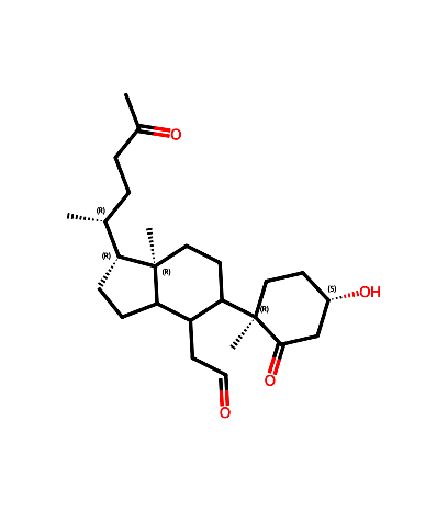 CC(=O)CC[C@@H](C)[C@H]1CCC2C(CC=O)C([C@@]3(C)CC[C@H](O)CC3=O)CC[C@@]21C